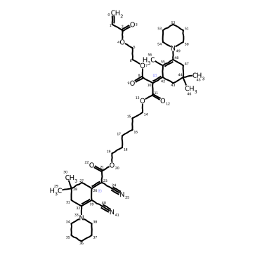 C=CC(=O)OCCOC(=O)/C(C(=O)OCCCCCCOC(=O)/C(C#N)=C1\CC(C)(C)CC(N2CCCCC2)=C1C#N)=C1/CC(C)(C)CC(N2CCCCC2)=C1C